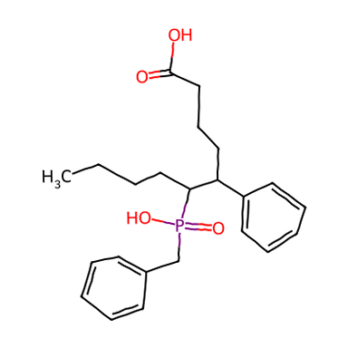 CCCCC(C(CCCC(=O)O)c1ccccc1)P(=O)(O)Cc1ccccc1